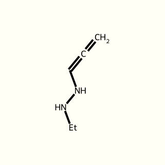 C=C=CNNCC